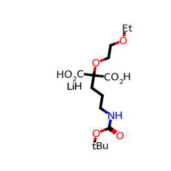 CCOCCOC(CCCNC(=O)OC(C)(C)C)(C(=O)O)C(=O)O.[LiH]